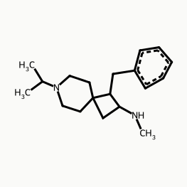 CNC1CC2(CCN(C(C)C)CC2)C1Cc1ccccc1